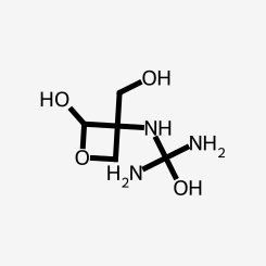 NC(N)(O)NC1(CO)COC1O